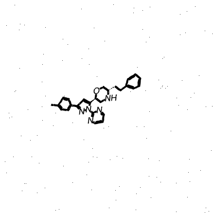 Cc1ccc(-c2cc([C@@H]3CN[C@@H](CCc4ccccc4)CO3)n(-c3ncccn3)n2)cc1